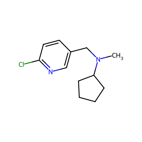 CN(Cc1ccc(Cl)nc1)C1CCCC1